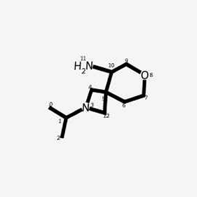 CC(C)N1CC2(CCOCC2N)C1